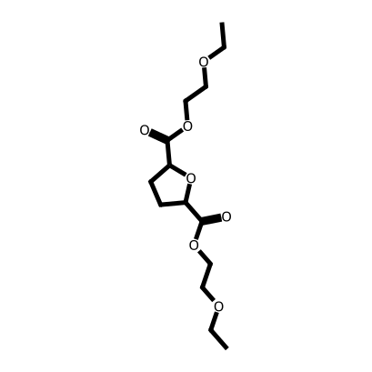 CCOCCOC(=O)C1CCC(C(=O)OCCOCC)O1